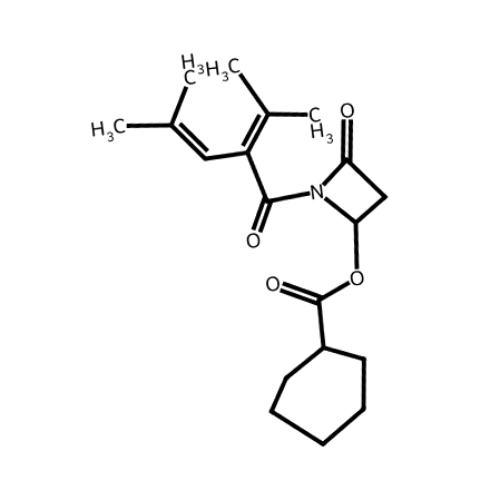 CC(C)=CC(C(=O)N1C(=O)CC1OC(=O)C1CCCCC1)=C(C)C